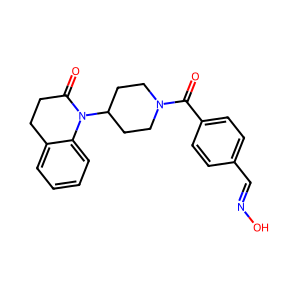 O=C(c1ccc(C=NO)cc1)N1CCC(N2C(=O)CCc3ccccc32)CC1